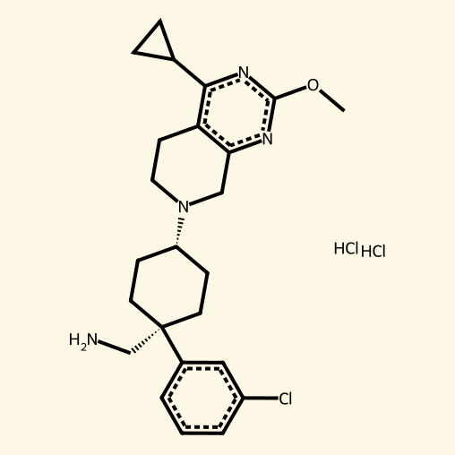 COc1nc2c(c(C3CC3)n1)CCN([C@H]1CC[C@](CN)(c3cccc(Cl)c3)CC1)C2.Cl.Cl